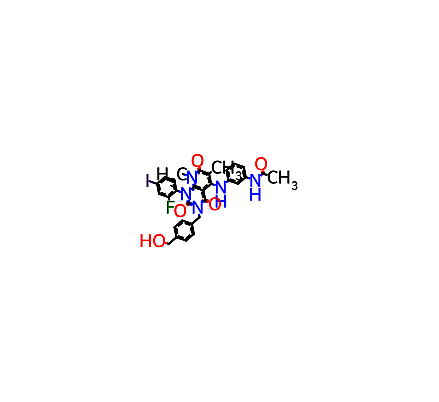 CC(=O)Nc1cccc(Nc2c(C)c(=O)n(C)c3c2c(=O)n(Cc2ccc(CO)cc2)c(=O)n3-c2ccc(I)cc2F)c1